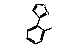 Fc1ccccc1-c1[c]c[nH]n1